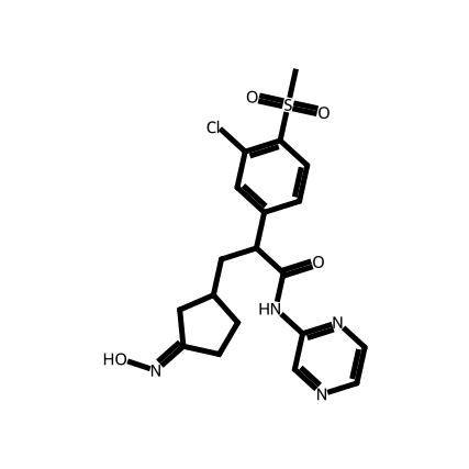 CS(=O)(=O)c1ccc(C(CC2CCC(=NO)C2)C(=O)Nc2cnccn2)cc1Cl